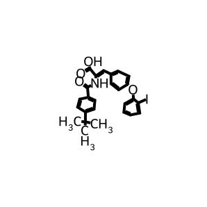 CC(C)(C)c1ccc(C(=O)N/C(=C\c2ccc(Oc3ccccc3I)cc2)C(=O)O)cc1